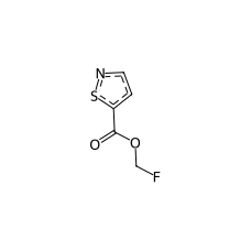 O=C(OCF)c1ccns1